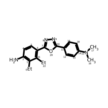 CCc1c(N)ccc(-c2nnc(-c3ccc(N(C)C)cc3)o2)c1CC